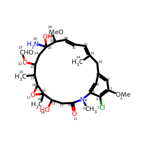 COc1cc2cc(c1Cl)N(C)C(=O)CC(O)C1(C)OC1C(C)C(OC=O)CC(N)(O)C(OC)/C=C/C=C(\C)C2